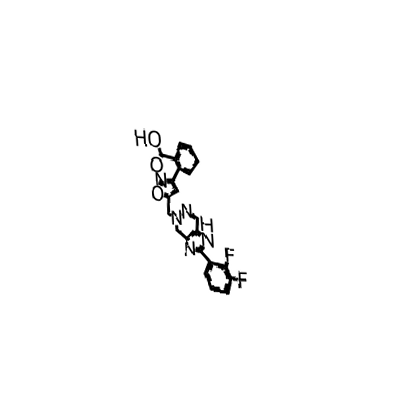 O=C(O)c1ccccc1-c1cc(CN2Cc3nc(-c4cccc(F)c4F)[nH]c3C=N2)on1